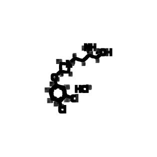 Cl.N[C@H](CO)CCN1CC(Oc2ccc(Cl)c(Cl)c2)C1